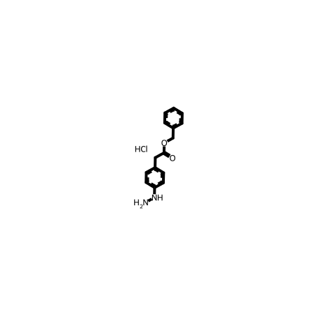 Cl.NNc1ccc(CC(=O)OCc2ccccc2)cc1